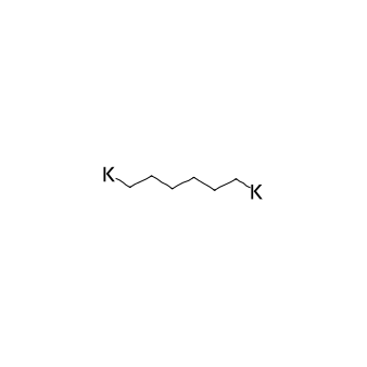 [K][CH2]CCCC[CH2][K]